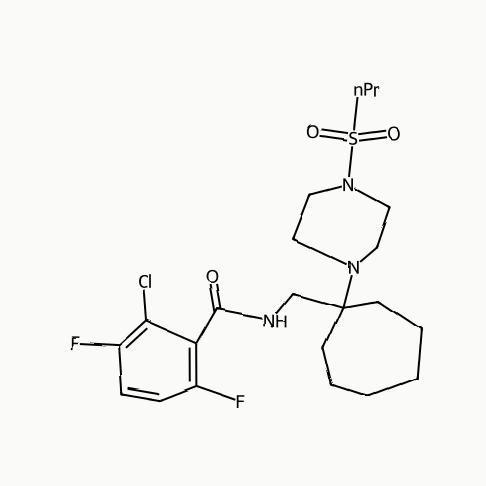 CCCS(=O)(=O)N1CCN(C2(CNC(=O)c3c(F)ccc(F)c3Cl)CCCCCC2)CC1